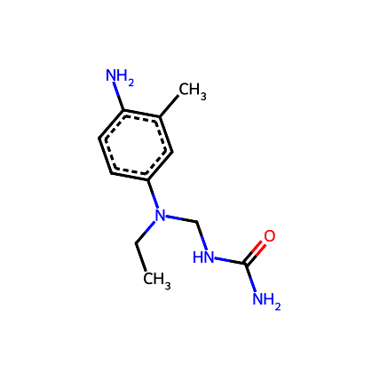 CCN(CNC(N)=O)c1ccc(N)c(C)c1